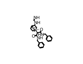 N=CNC1C[N+]2(C(C(=O)NCc3ccccc3)C(=O)NCc3ccccc3)CCC1CC2